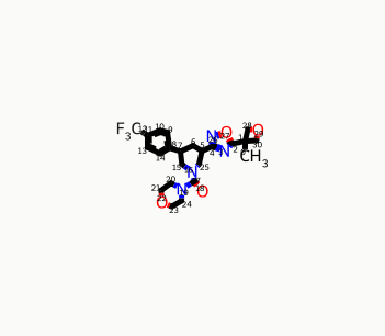 CC1(c2nc(C3CC(c4ccc(C(F)(F)F)cc4)CN(C(=O)N4CCOCC4)C3)no2)COC1